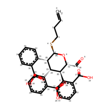 C=CCCS[C@H]1O[C@H](C=O)[C@@H](c2ccccc2C(=O)O)[C@H](c2ccccc2C(=O)O)[C@@H]1c1ccccc1C(=O)O